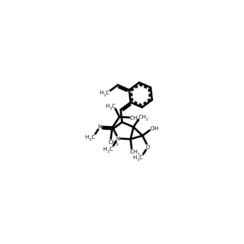 C/C=c1/ccccc1=CC(CC)C1(C)C(O)(OC)C1(C)N(C)/C(=N\C)C(C)C